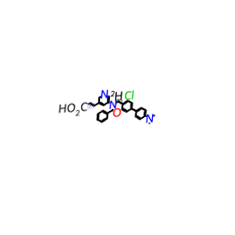 [2H][C@H](c1ccc(-c2ccc(N(C)C)cc2)cc1Cl)N(C(=O)c1ccccc1)c1cncc(/C=C/C(=O)O)c1